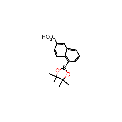 CC1(C)OB(c2cccc3cc(C(=O)O)ccc23)OC1(C)C